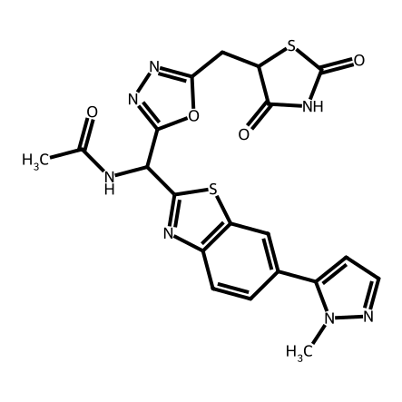 CC(=O)NC(c1nnc(CC2SC(=O)NC2=O)o1)c1nc2ccc(-c3ccnn3C)cc2s1